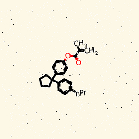 C=C(C)C(=O)Oc1ccc(C2(c3ccc(CCC)cc3)CCCC2)cc1